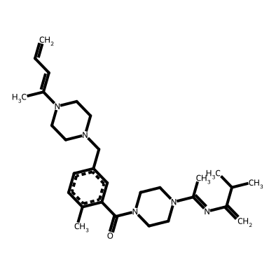 C=C/C=C(\C)N1CCN(Cc2ccc(C)c(C(=O)N3CCN(/C(C)=N/C(=C)C(C)C)CC3)c2)CC1